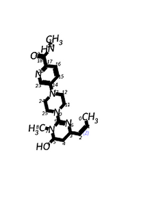 C/C=C\C1CC(O)N(C)C(N2CCN(c3ccc(C(=O)NC)nc3)CC2)=N1